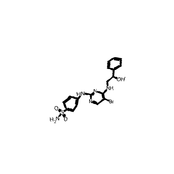 NS(=O)(=O)c1ccc(Nc2ncc(Br)c(NCC(O)c3ccccc3)n2)cc1